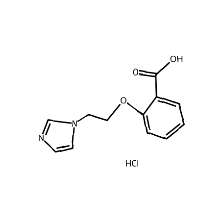 Cl.O=C(O)c1ccccc1OCCn1ccnc1